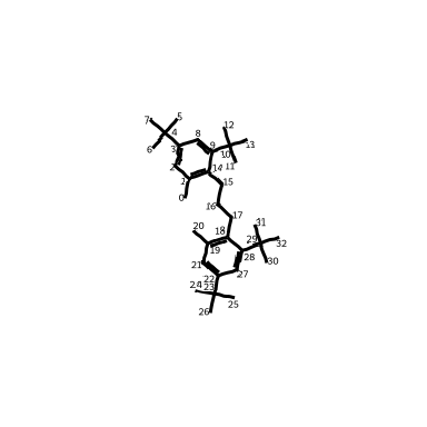 Cc1cc(C(C)(C)C)cc(C(C)(C)C)c1CCCc1c(C)cc(C(C)(C)C)cc1C(C)(C)C